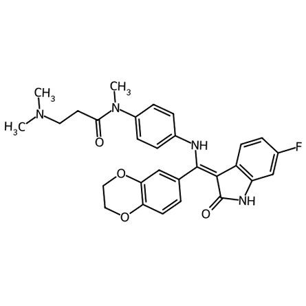 CN(C)CCC(=O)N(C)c1ccc(NC(=C2C(=O)Nc3cc(F)ccc32)c2ccc3c(c2)OCCO3)cc1